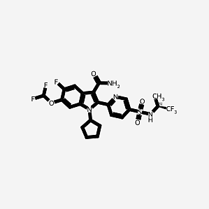 C[C@H](NS(=O)(=O)c1ccc(-c2c(C(N)=O)c3cc(F)c(OC(F)F)cc3n2C2CCCC2)nc1)C(F)(F)F